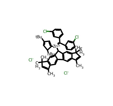 CCCCC1C=C(C(C)(C)C)C=[C]1[Zr+2](=[C](c1cccc(Cl)c1)c1cccc(Cl)c1)[CH]1c2cc3c(cc2-c2cc4c(cc21)C(C)(C)C=C4C)C(C)=CC3(C)C.[Cl-].[Cl-]